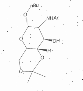 CCCCO[C@H]1OC2COC(C)(C)O[C@H]2[C@H](O)C1NC(C)=O